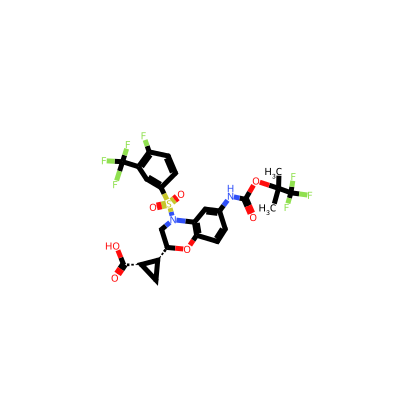 CC(C)(OC(=O)Nc1ccc2c(c1)N(S(=O)(=O)c1ccc(F)c(C(F)(F)F)c1)CC([C@@H]1C[C@@H]1C(=O)O)O2)C(F)(F)F